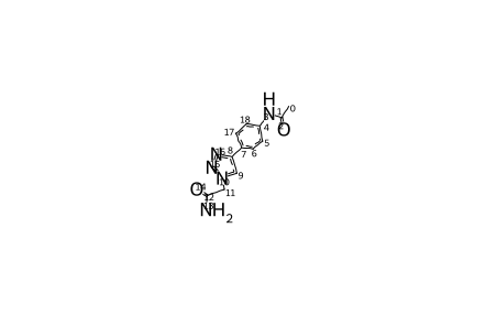 CC(=O)Nc1ccc(-c2cn(CC(N)=O)nn2)cc1